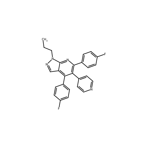 CCCn1ncc2c(-c3ccc(F)cc3)c(-c3ccncc3)c(-c3ccc(F)cc3)nc21